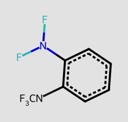 FN(F)c1ccccc1NC(F)(F)F